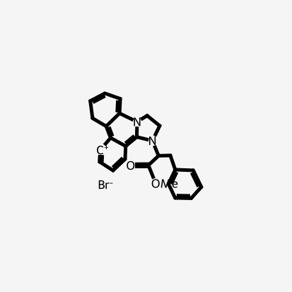 COC(=O)C(Cc1ccccc1)N1CCN2C3=CC=CCC3=C3[C+]=CC=CC3=C21.[Br-]